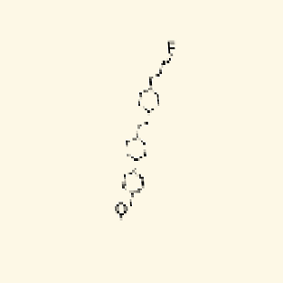 COCc1ccc([C@H]2CC[C@H](CC[C@H]3CC[C@H](CCC=CF)CC3)CC2)cc1